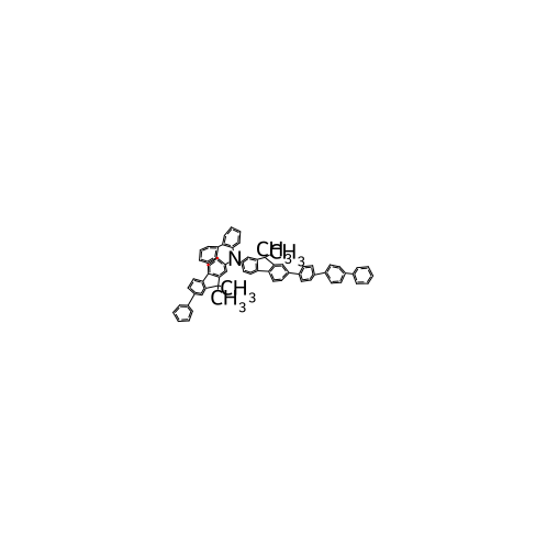 CC1(C)c2cc(-c3ccccc3)ccc2-c2ccc(N(c3ccc4c(c3)C(C)(C)c3cc(-c5ccc(-c6ccc(-c7ccccc7)cc6)cc5)ccc3-4)c3ccccc3-c3ccccc3)cc21